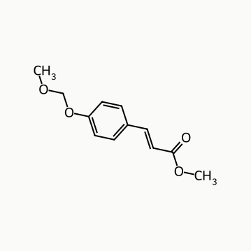 COCOc1ccc(C=CC(=O)OC)cc1